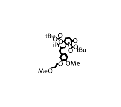 COCCCOc1cc(CC(C[C@H]2[C@@H](OC(=O)OC(C)(C)C)CCC(=O)N2C(=O)OC(C)(C)C)C(C)C)ccc1OC